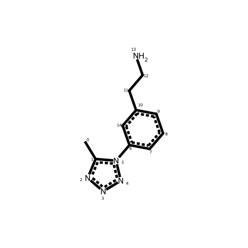 Cc1nnnn1-c1cccc(CCN)c1